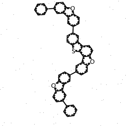 c1ccc(-c2ccc3oc4ccc(-c5ccc6sc7c(ccc8oc9ccc(-c%10ccc%11oc%12ccc(-c%13ccccc%13)cc%12c%11c%10)cc9c87)c6c5)cc4c3c2)cc1